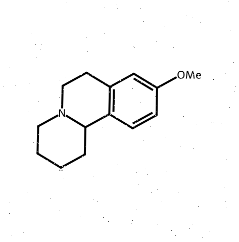 COc1ccc2c(c1)CCN1CC[C]CC21